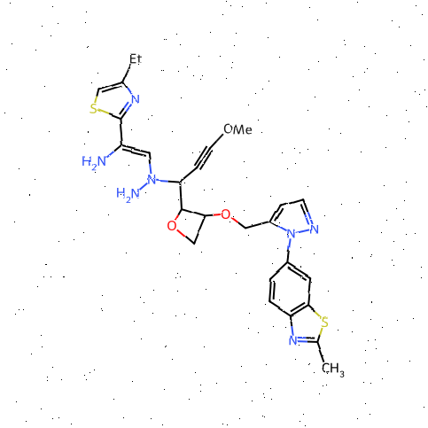 CCc1csc(/C(N)=C/N(N)C(C#COC)C2OCC2OCc2ccnn2-c2ccc3nc(C)sc3c2)n1